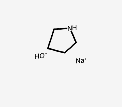 C1CCNC1.[Na+].[OH-]